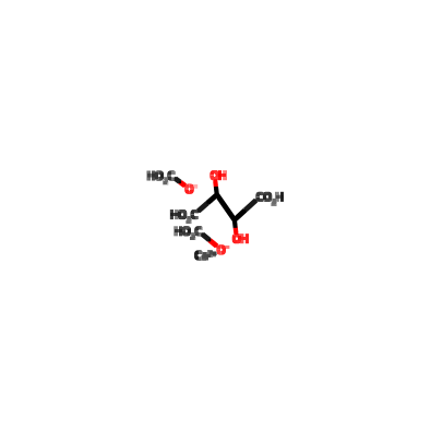 O=C(O)C(O)C(O)C(=O)O.O=C([O-])O.O=C([O-])O.[Ca+2]